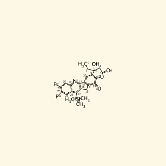 CCC1(O)CC(=O)Oc2c1cc1n(c2=O)Cc2c-1nc1cc(F)c(F)cc1c2[Si](C)(C)C